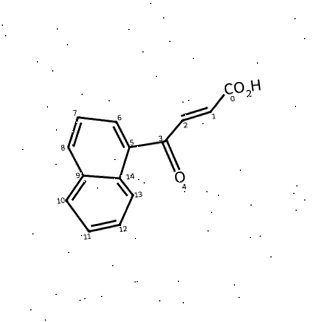 O=C(O)/C=C/C(=O)c1cccc2ccccc12